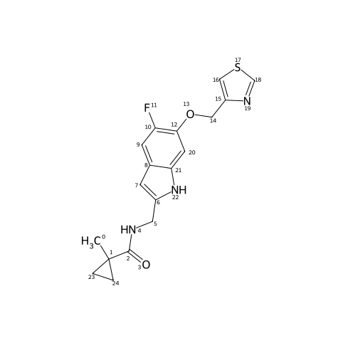 CC1(C(=O)NCc2cc3cc(F)c(OCc4cscn4)cc3[nH]2)CC1